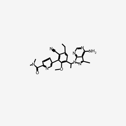 CCc1cc(C(C)n2nc(C)c3c(N)ncnc32)c(OC)c(-c2ccc(C(=O)N(C)C)nc2)c1C#N